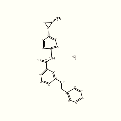 Cl.N[C@@H]1C[C@H]1c1ccc(NC(=O)c2cccc(OCc3ccccc3)c2)cc1